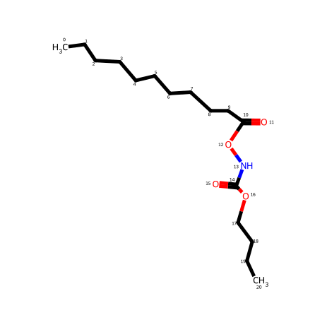 CCCCCCCCCCC(=O)ONC(=O)OCCCC